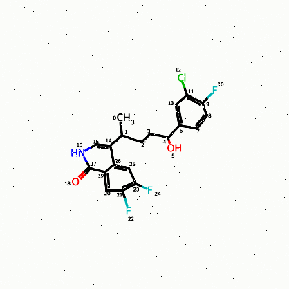 CC([CH]CC(O)c1ccc(F)c(Cl)c1)c1c[nH]c(=O)c2cc(F)c(F)cc12